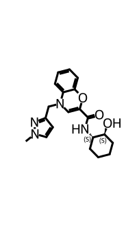 Cn1ccc(CN2C=C(C(=O)N[C@H]3CCCC[C@@H]3O)Oc3ccccc32)n1